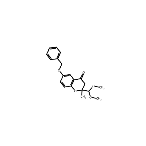 COC(OC)C1(C)CC(=O)c2cc(OCc3ccccc3)ccc2O1